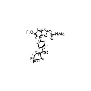 CNC(=O)Oc1cc2cc(C(F)(F)F)cc(-c3ccc(C(=O)N4CCC(F)(F)CC4)cc3)c2o1